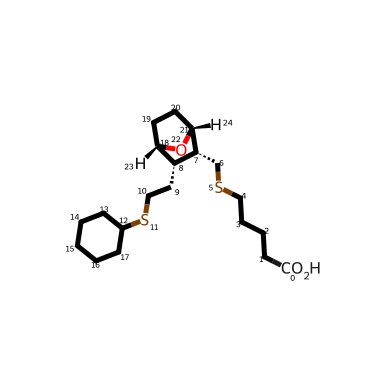 O=C(O)CCCCSC[C@@H]1[C@H](CCSC2CCCCC2)[C@@H]2CC[C@H]1O2